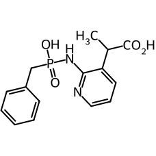 CC(C(=O)O)c1cccnc1NP(=O)(O)Cc1ccccc1